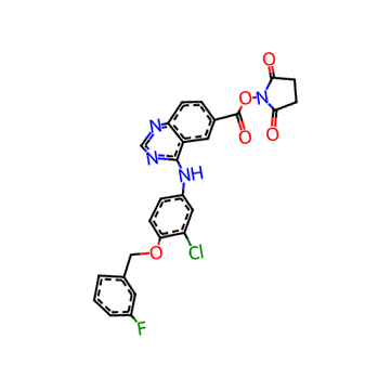 O=C(ON1C(=O)CCC1=O)c1ccc2ncnc(Nc3ccc(OCc4cccc(F)c4)c(Cl)c3)c2c1